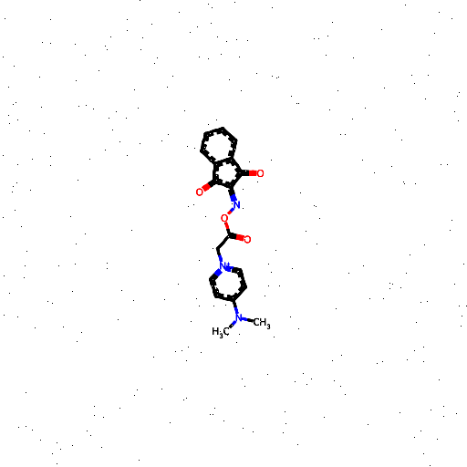 CN(C)c1cc[n+](CC(=O)ON=c2c(=O)c3ccccc3c2=O)cc1